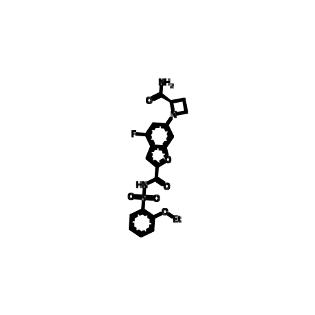 CCOc1ccccc1S(=O)(=O)NC(=O)c1cc2c(F)cc(N3CC[C@@H]3C(N)=O)cc2o1